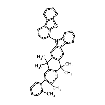 Cc1ccccc1-c1cc2c(cc1C)C(C)(C)c1cc3c4ccccc4n(-c4cccc5c4sc4ccccc45)c3cc1C2(C)C